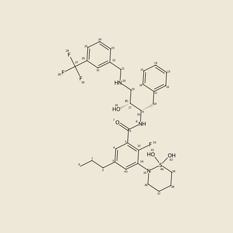 CCCc1cc(C(=O)N[C@@H](Cc2ccccc2)[C@H](O)CNCc2cccc(C(F)(F)F)c2)c(F)c(N2CCCCS2(O)O)c1